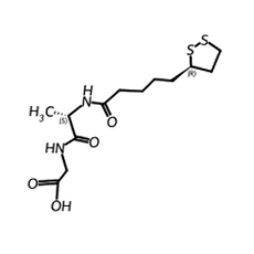 C[C@H](NC(=O)CCCC[C@@H]1CCSS1)C(=O)NCC(=O)O